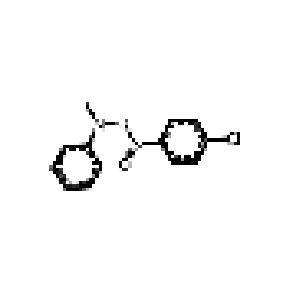 CN(OS(=O)c1ccc(Cl)cc1)c1ccccc1